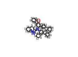 c1ccc(-c2nn3c(ccc4ccccc43)c2N(c2ccc3c(c2)C2(c4ccccc4-c4ccccc42)c2ccccc2-3)c2ccc3oc4ccccc4c3c2)cc1